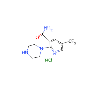 Cl.NC(=O)c1cc(C(F)(F)F)cnc1N1CCNCC1